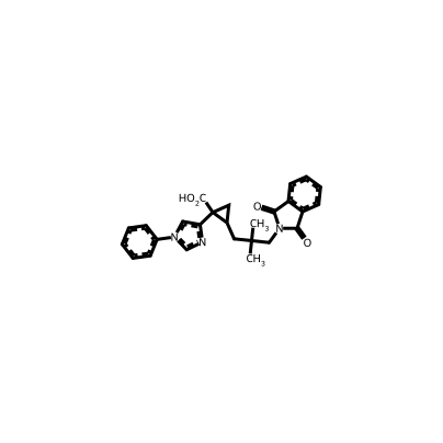 CC(C)(CC1CC1(C(=O)O)c1cn(-c2ccccc2)cn1)CN1C(=O)c2ccccc2C1=O